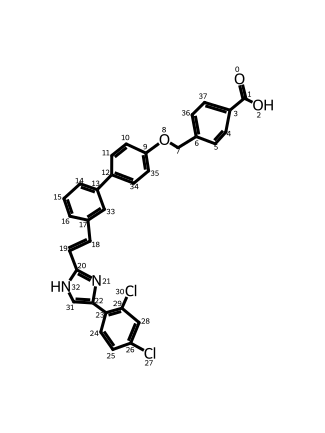 O=C(O)c1ccc(COc2ccc(-c3cccc(C=Cc4nc(-c5ccc(Cl)cc5Cl)c[nH]4)c3)cc2)cc1